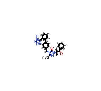 CCCCc1nn(C(C)(C)C(=O)c2ccccc2)c(=O)n1Cc1ccc(-c2ccccc2-c2nnn[nH]2)cc1